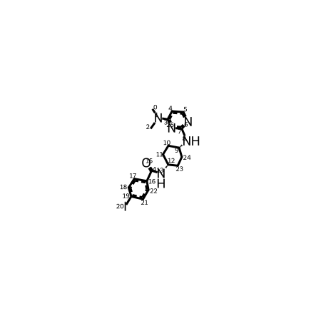 CN(C)c1ccnc(N[C@H]2CC[C@@H](NC(=O)c3ccc(I)cc3)CC2)n1